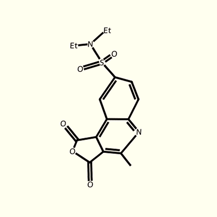 CCN(CC)S(=O)(=O)c1ccc2nc(C)c3c(c2c1)C(=O)OC3=O